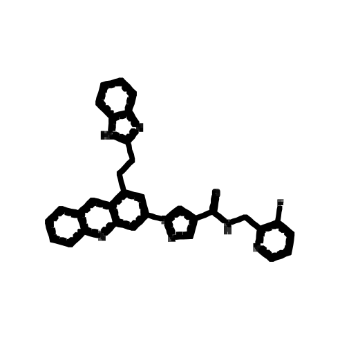 O=C(NCc1ncccc1F)c1cnn(-c2cc(CCc3nc4ccccc4[nH]3)c3cc4ccccc4nc3c2)c1